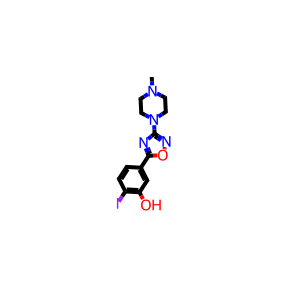 CN1CCN(c2noc(-c3ccc(I)c(O)c3)n2)CC1